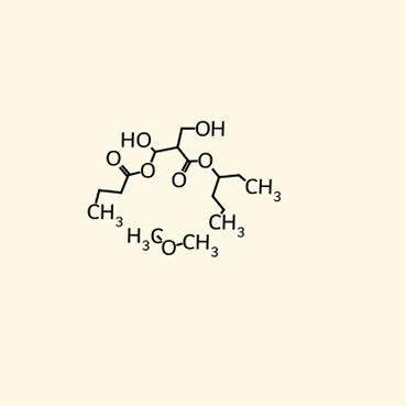 CCCC(=O)OC(O)C(CO)C(=O)OC(CC)CCC.COC